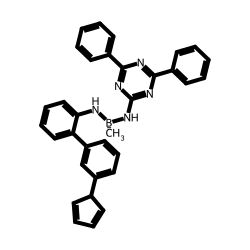 CB(Nc1nc(-c2ccccc2)nc(-c2ccccc2)n1)Nc1ccccc1-c1cccc(C2C=CC=C2)c1